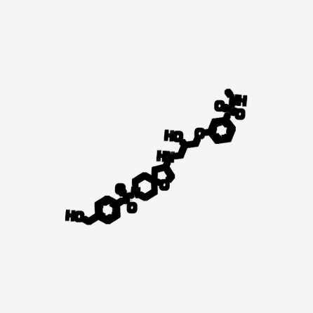 CNS(=O)(=O)c1cccc(OCC(O)CNC2COC3(CCN(S(=O)(=O)c4ccc(CO)cc4)CC3)C2)c1